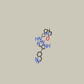 C[C@]1(N2CCCC2=O)C[C@H](Nc2ncc3c(-c4ccc5nnccc5c4)c[nH]c3n2)C1